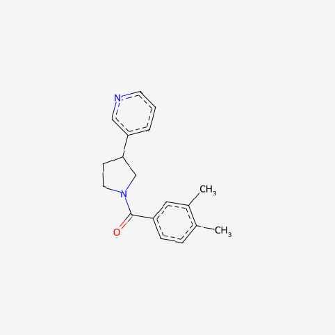 Cc1ccc(C(=O)N2CCC(c3cccnc3)C2)cc1C